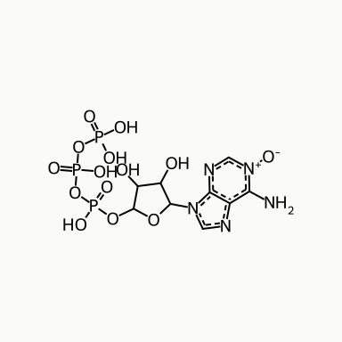 Nc1c2ncn(C3OC(OP(=O)(O)OP(=O)(O)OP(=O)(O)O)C(O)C3O)c2nc[n+]1[O-]